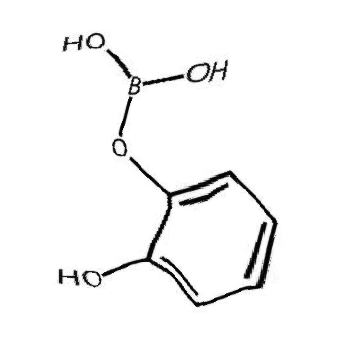 OB(O)Oc1ccccc1O